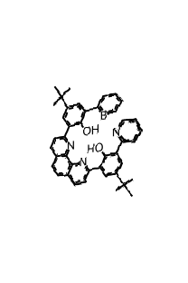 CC(C)(C)c1cc(-c2bcccc2)c(O)c(-c2ccc3ccc4ccc(-c5cc(C(C)(C)C)cc(-c6ccccn6)c5O)nc4c3n2)c1